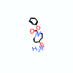 NOC1CCN(C(=O)Oc2ccccc2)CC1